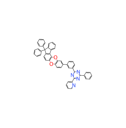 c1ccc(-c2nc(-c3cccc(-c4ccc5c(c4)Oc4c(ccc6c4-c4ccccc4C6(c4ccccc4)c4ccccc4)O5)c3)nc(-c3ccccn3)n2)cc1